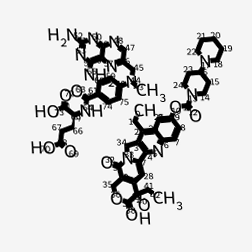 CCc1c2c(nc3ccc(OC(=O)N4CCC(N5CCCCC5)CC4)cc13)-c1cc3c(c(=O)n1C2)COC(=O)[C@]3(O)CC.CN(Cc1cnc2nc(N)nc(N)c2n1)c1ccc(C(=O)N[C@@H](CCC(=O)O)C(=O)O)cc1